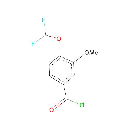 COc1cc(C(=O)Cl)ccc1OC(F)F